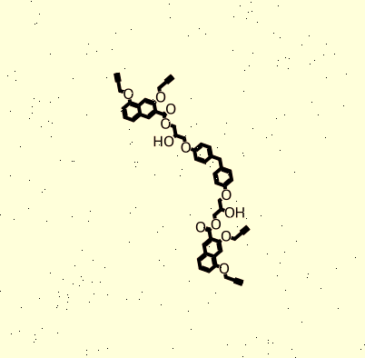 C#CCOc1cc2c(OCC#C)cccc2cc1C(=O)OCC(O)COc1ccc(Cc2ccc(OCC(O)COC(=O)c3cc4cccc(OCC#C)c4cc3OCC#C)cc2)cc1